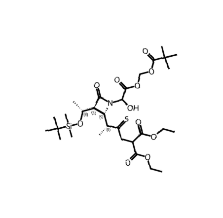 CCOC(=O)C(CC(=S)[C@H](C)[C@@H]1[C@@H]([C@@H](C)O[Si](C)(C)C(C)(C)C)C(=O)N1C(O)C(=O)OCOC(=O)C(C)(C)C)C(=O)OCC